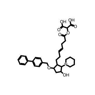 O=C(CC/C=C/CCC1C(OCc2ccc(-c3ccccc3)cc2)CC(O)C1N1CCCCC1)OC(C(=O)O)C(=O)O